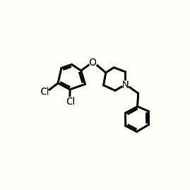 Clc1ccc(OC2CCN(Cc3ccccc3)CC2)cc1Cl